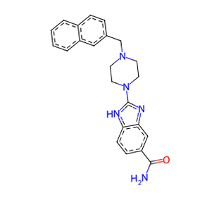 NC(=O)c1ccc2[nH]c(N3CCN(Cc4ccc5ccccc5c4)CC3)nc2c1